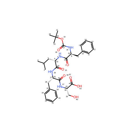 CC(C)C[C@H](NC(=O)[C@H](Cc1ccccc1)NC(=O)OC(C)(C)C)C(=O)N[C@@H](Cc1ccccc1)C(=O)N[C@@H](CO)C(=O)O